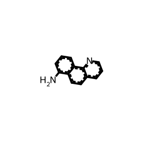 Nc1cccc2c1ccc1cccnc12